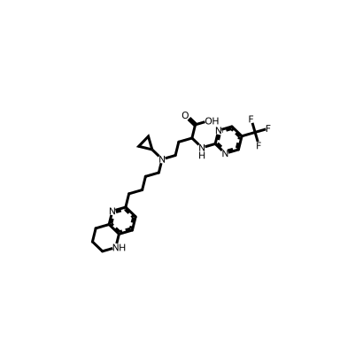 O=C(O)C(CCN(CCCCc1ccc2c(n1)CCCN2)C1CC1)Nc1ncc(C(F)(F)F)cn1